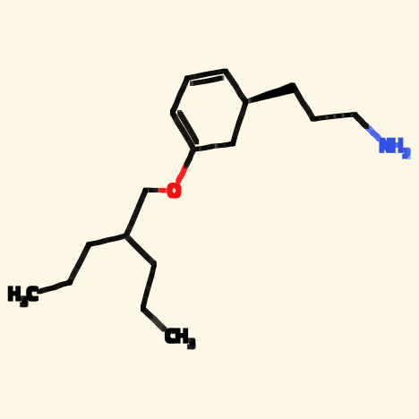 CCCC(CCC)COC1=CC=C[C@@H](CCCN)C1